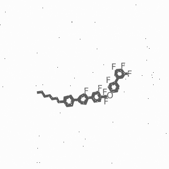 CCCCCCCc1ccc(-c2ccc(-c3ccc(C(F)(F)Oc4ccc(-c5cc(F)c(F)c(F)c5)c(F)c4)c(F)c3)c(F)c2)cc1